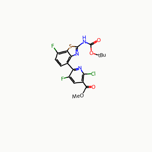 COC(=O)c1cc(F)c(-c2ccc(F)c3sc(NC(=O)OC(C)(C)C)nc23)nc1Cl